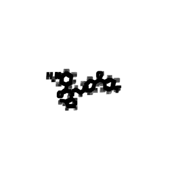 Cc1ccsc1N(CCN1CCC(C(=O)c2ccc(F)cc2)CC1)C(=O)c1cccc(N)c1